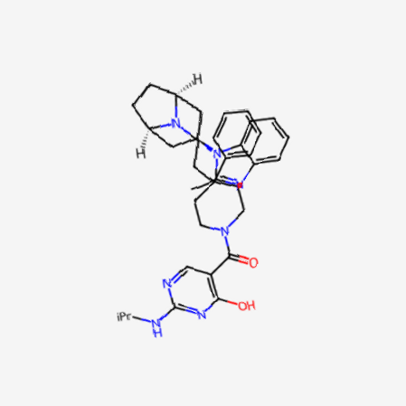 Cc1nc2ccccc2n1[C@H]1C[C@H]2CC[C@@H](C1)N2CCC1(c2ccccc2)CCN(C(=O)c2cnc(NC(C)C)nc2O)CC1